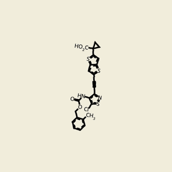 Cc1ccccc1COC(=O)Nc1c(C#Cc2cc3sc(C4(C(=O)O)CC4)cc3s2)nsc1Cl